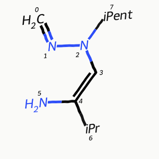 C=NN(/C=C(\N)C(C)C)C(C)CCC